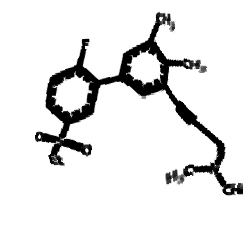 CCS(=O)(=O)c1ccc(F)c(-c2[c]c(C#CCN(C)C)c(C)c(C)c2)c1